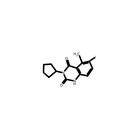 Cc1c(I)ccc2[nH]c(=O)n(C3CCCC3)c(=O)c12